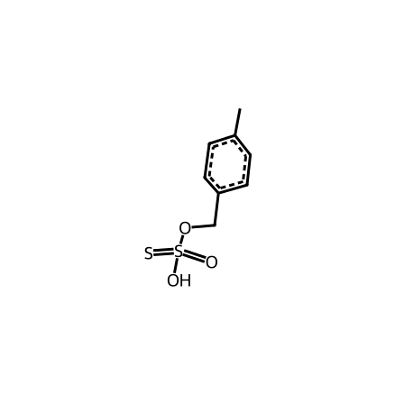 Cc1ccc(COS(=O)(O)=S)cc1